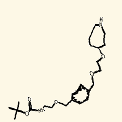 CC(C)(C)OC(=O)NCCOCc1ccc(COCCO[C@H]2CCCNCC2)cc1